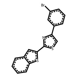 Brc1cccc(-c2csc(-c3cc4ccccc4s3)n2)c1